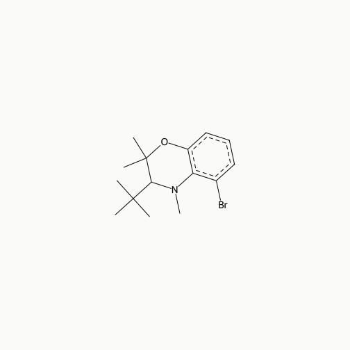 CN1c2c(Br)cccc2OC(C)(C)C1C(C)(C)C